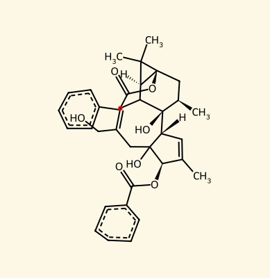 CC1=C[C@@H]2C(O)(CC(CO)=CC3[C@H]4C(C)(C)[C@]4(OC(=O)Cc4ccccc4)C[C@@H](C)[C@@]32O)[C@@H]1OC(=O)c1ccccc1